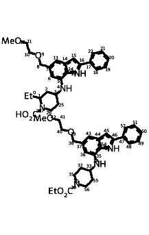 CCC1CC(Nc2cc(COCCOC)cc3cc(-c4ccccc4)[nH]c23)CCN1C(=O)O.CCOC(=O)N1CCC(Nc2cc(COCCOC)cc3cc(-c4ccccc4)[nH]c23)CC1